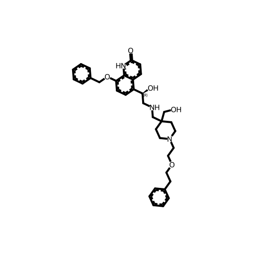 O=c1ccc2c([C@@H](O)CNCC3(CO)CCN(CCOCCc4ccccc4)CC3)ccc(OCc3ccccc3)c2[nH]1